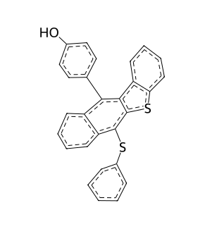 Oc1ccc(-c2c3ccccc3c(Sc3ccccc3)c3sc4ccccc4c23)cc1